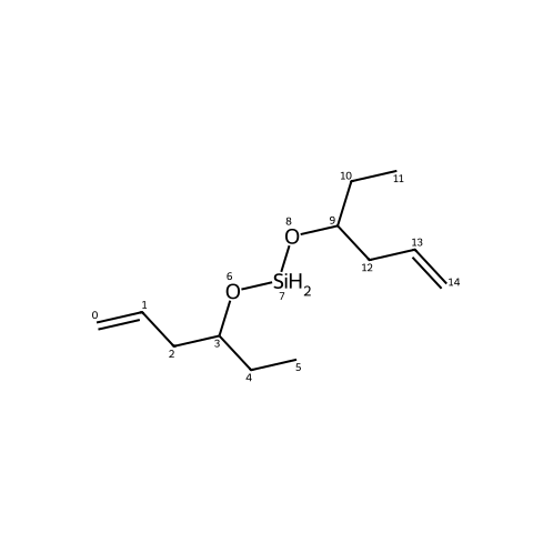 C=CCC(CC)O[SiH2]OC(CC)CC=C